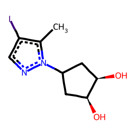 Cc1c(I)cnn1C1C[C@@H](O)[C@@H](O)C1